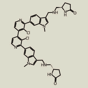 Cn1cc(CNC[C@H]2CCC(=O)N2)c2ccc(-c3nccc(-c4ccnc(-c5ccc6c(CNC[C@@H]7CCC(=O)N7)cn(C)c6c5)c4Cl)c3Cl)cc21